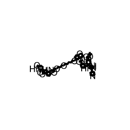 CC(C)(C)OC(=O)N1CCC(Nc2cccc(C(=O)N[C@H]3CCOc4ccc(OCCCCCOCCCOCC(=O)Nc5cccc6c5CN(C5CCC(=O)NC5=O)C6=O)cc43)c2)(c2nnc(-c3ccncc3)[nH]2)CC1